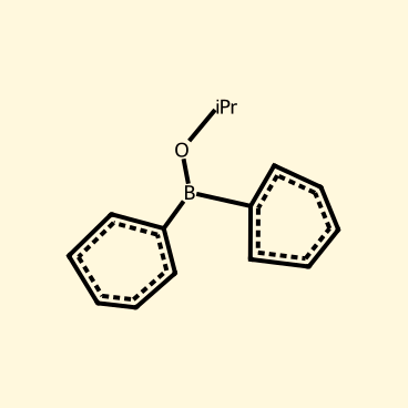 CC(C)OB(c1ccccc1)c1ccccc1